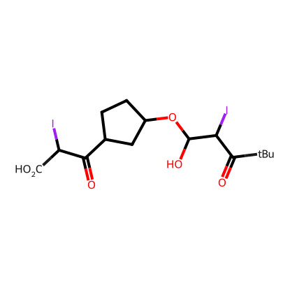 CC(C)(C)C(=O)C(I)C(O)OC1CCC(C(=O)C(I)C(=O)O)C1